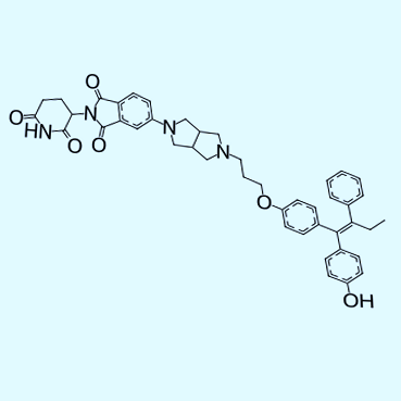 CCC(=C(c1ccc(O)cc1)c1ccc(OCCCN2CC3CN(c4ccc5c(c4)C(=O)N(C4CCC(=O)NC4=O)C5=O)CC3C2)cc1)c1ccccc1